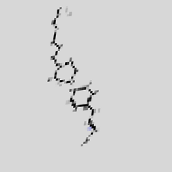 CCCCCC[C@H]1CC[C@H](c2ccc(C/C=C/F)cc2)CC1